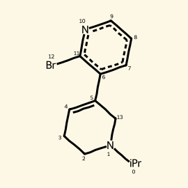 CC(C)N1CCC=C(c2cccnc2Br)C1